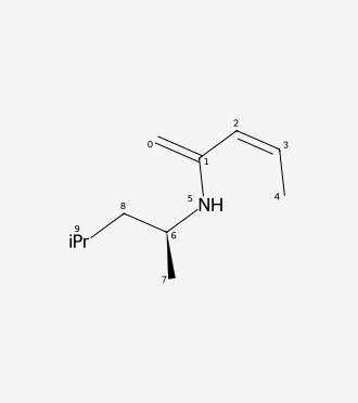 C=C(/C=C\C)N[C@@H](C)CC(C)C